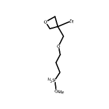 CCC1(COCCC[SiH2]OC)COC1